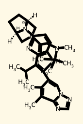 Cc1c(-c2[nH]c3ccc(N4[C@@H]5CC[C@H]4CN(C(=O)CN(C)C(C)(C)C)C5)nc3c2C(C)C)cn2ncnc2c1C